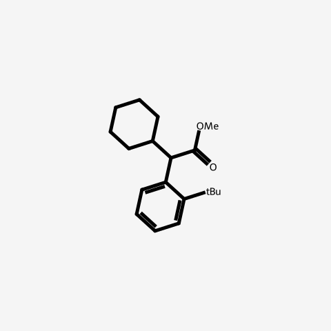 COC(=O)C(c1ccccc1C(C)(C)C)C1CCCCC1